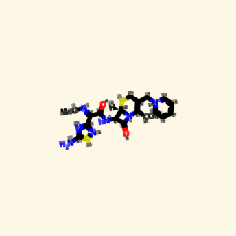 CO/N=C(/C(=O)NC1C(=O)N2C(C(=O)[O-])=C(C[n+]3ccccc3)CS[C@H]12)c1nsc(N)n1